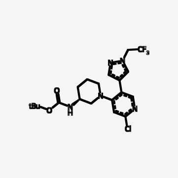 CC(C)(C)OC(=O)N[C@H]1CCCN(c2cc(Cl)ncc2-c2cnn(CC(F)(F)F)c2)C1